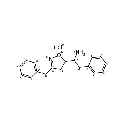 Cl.NC(Cc1ccccc1)C1CC(Cc2ccccc2)=NO1